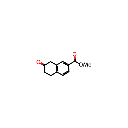 COC(=O)c1ccc2c(c1)CC(=O)CC2